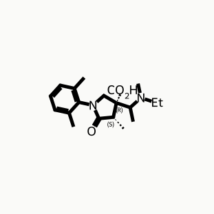 CCN(C)C(C)[C@]1(C(=O)O)CN(c2c(C)cccc2C)C(=O)[C@H]1C